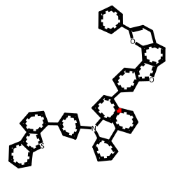 C1=C(c2ccccc2)Oc2c(ccc3oc4cc(-c5ccc(N(c6ccc(-c7cccc8c7sc7ccccc78)cc6)c6ccccc6-c6ccccc6)cc5)ccc4c23)C1